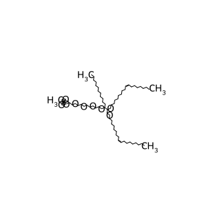 CCCCCCCC/C=C\CCCCCCCCOCC(OCCCCCCCC/C=C\CCCCCCCC)C(CCCCCCCCCCCC)OCCOCCOCCOCCOS(C)(=O)=O